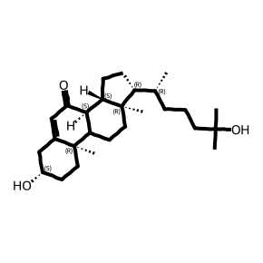 C[C@H](CCCC(C)(C)O)[C@H]1CC[C@H]2[C@@H]3C(=O)C=C4C[C@@H](O)CC[C@]4(C)C3CC[C@]12C